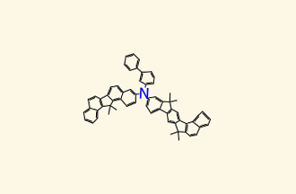 CC1(C)c2cc(N(c3cccc(-c4ccccc4)c3)c3ccc4c5c(ccc4c3)-c3ccc4ccccc4c3C5(C)C)ccc2-c2cc3c(cc21)-c1c(ccc2ccccc12)C3(C)C